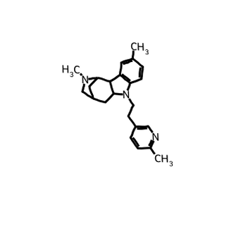 Cc1ccc2c(c1)C1C3CC(CC1N2CCc1ccc(C)nc1)CN3C